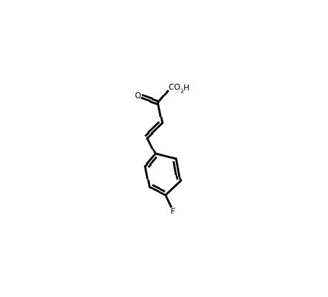 O=C(O)C(=O)C=Cc1ccc(F)cc1